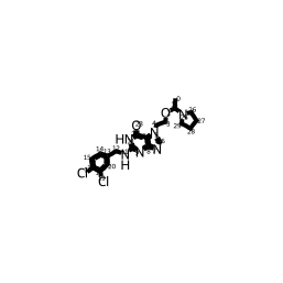 CC(OCCn1cnc2nc(NCc3ccc(Cl)c(Cl)c3)[nH]c(=O)c21)N1CCCC1